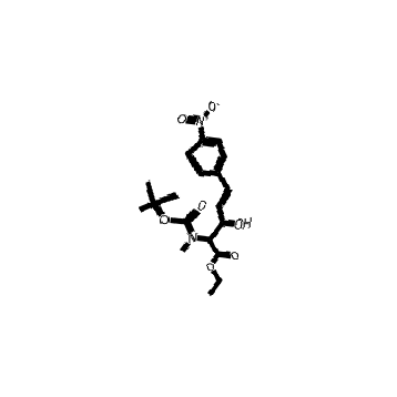 CCOC(=O)C(C(O)/C=C/c1ccc([N+](=O)[O-])cc1)N(C)C(=O)OC(C)(C)C